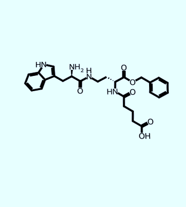 N[C@H](Cc1c[nH]c2ccccc12)C(=O)NCC[C@@H](NC(=O)CCCC(=O)O)C(=O)OCc1ccccc1